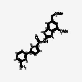 CNCc1cc(OC)c2nc(NC(=O)c3ccc(-c4ccnc(N)n4)s3)sc2c1